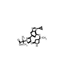 C[C@@H](Oc1cc(-c2ccn(C(C)(C)C(=O)O)n2)cc2ncn(C3CC3)c12)C1CNC(=O)C1